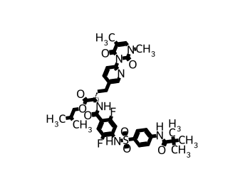 Cc1cn(C)c(=O)n(-c2ccc(CC[C@H](NC(=O)c3cc(F)c(NS(=O)(=O)c4ccc(NC(=O)C(C)(C)C)cc4)cc3F)C(=O)OCC(C)C)cn2)c1=O